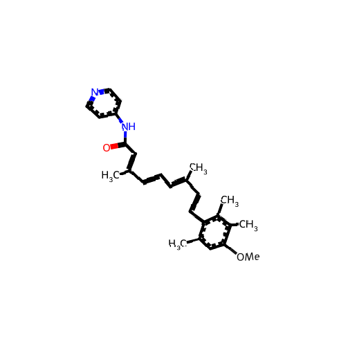 COc1cc(C)c(C=CC(C)=CC=CC(C)=CC(=O)Nc2ccncc2)c(C)c1C